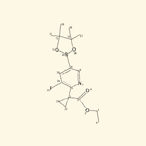 CCOC(=O)C1(c2ncc(B3OC(C)(C)C(C)(C)O3)cc2F)CC1